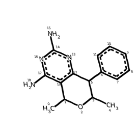 CC1OC(C)C(c2ccccc2)c2nc(N)nc(N)c21